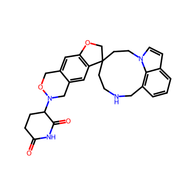 O=C1CCC(N2Cc3cc4c(cc3CO2)OCC42CCNCc3cccc4ccn(c34)CC2)C(=O)N1